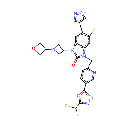 O=c1n(Cc2ccc(-c3nnc(C(F)F)o3)cn2)c2cc(F)c(-c3cn[nH]c3)cc2n1C1CN(C2COC2)C1